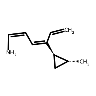 C=C/C(=C\C=C/N)[C@@H]1C[C@H]1C